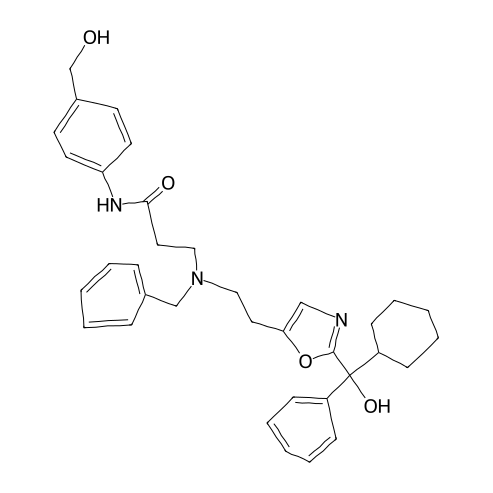 O=C(CCN(CCc1cnc(C(O)(c2ccccc2)C2CCCCC2)o1)Cc1ccccc1)Nc1ccc(CO)cc1